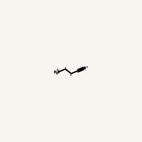 BCCC#N